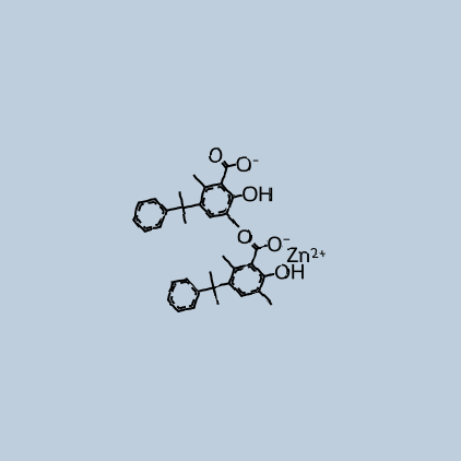 Cc1cc(C(C)(C)c2ccccc2)c(C)c(C(=O)[O-])c1O.Cc1cc(C(C)(C)c2ccccc2)c(C)c(C(=O)[O-])c1O.[Zn+2]